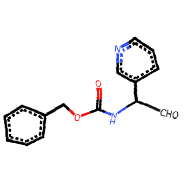 O=CC(NC(=O)OCc1ccccc1)c1cccnc1